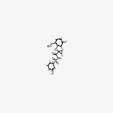 Cc1ccc(CC(C)C)c(OC2(C(=O)NS(=O)(=O)c3cccc(F)n3)CC2)c1